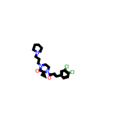 O=C(/C=C/c1ccc(Cl)c(Cl)c1)N1CCN(CCCN2CCCCC2)C(=O)C12CC2